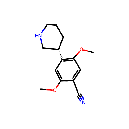 COc1cc([C@H]2CCCNC2)c(OC)cc1C#N